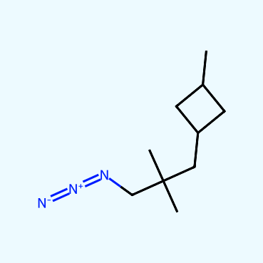 CC1CC(CC(C)(C)CN=[N+]=[N-])C1